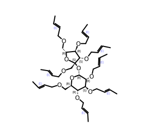 C/C=C/COC[C@H]1O[C@@](COC/C=C/C)(O[C@H]2O[C@H](COC/C=C/C)[C@@H](OC/C=C/C)[C@H](OC/C=C/C)[C@H]2OC/C=C/C)[C@@H](OC/C=C/C)[C@@H]1OC/C=C/C